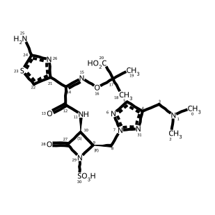 CN(C)Cc1cnn(C[C@@H]2[C@H](NC(=O)C(=NOC(C)(C)C(=O)O)c3csc(N)n3)C(=O)N2S(=O)(=O)O)n1